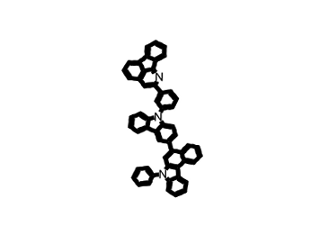 c1ccc(-n2c3ccccc3c3c4ccccc4c(-c4ccc5c(c4)c4ccccc4n5-c4cccc(-c5cc6cccc7c6c(n5)-c5ccccc5-7)c4)cc32)cc1